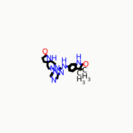 CC1(C)C(=O)Nc2cc(NC3=N[N+]4(N5CCC6(CCC(=O)N6)CC5)C=CN=CC4=N3)ccc21